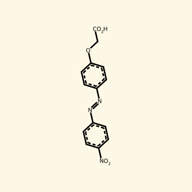 O=C(O)COc1ccc(/N=N/c2ccc([N+](=O)[O-])cc2)cc1